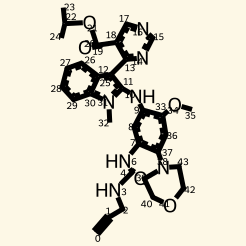 C#CCNC(=O)Nc1cc(Nc2c(-c3ncncc3C(=O)OC(C)C)c3ccccc3n2C)c(OC)cc1N1CCOCC1